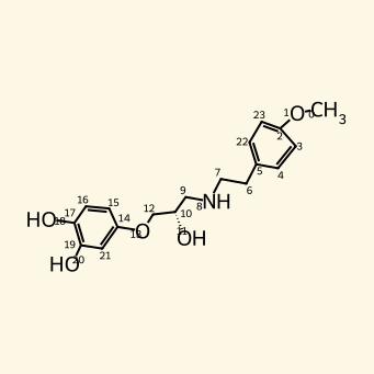 COc1ccc(CCNC[C@H](O)COc2ccc(O)c(O)c2)cc1